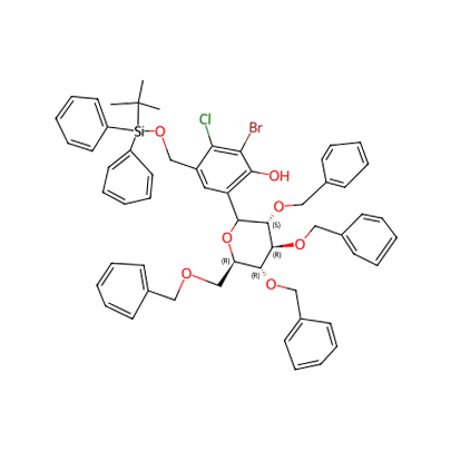 CC(C)(C)[Si](OCc1cc(C2O[C@H](COCc3ccccc3)[C@@H](OCc3ccccc3)[C@H](OCc3ccccc3)[C@H]2OCc2ccccc2)c(O)c(Br)c1Cl)(c1ccccc1)c1ccccc1